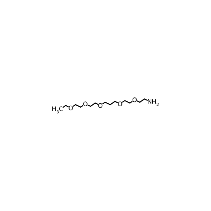 CCOCCOCCOCCCOCCOCCN